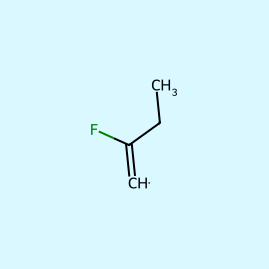 [CH]=C(F)CC